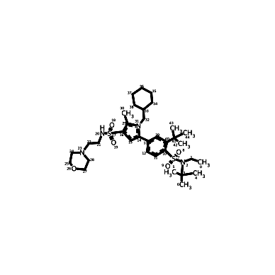 CCN(C(C)(C)C)S(=O)(=O)c1ccc(-c2cc(S(=O)(=O)NCCN3CCOCC3)c(C)n2CC2CCCCC2)cc1C(C)(C)C